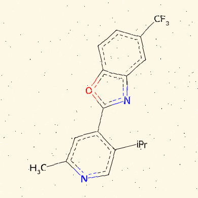 Cc1[c]c(-c2nc3cc(C(F)(F)F)ccc3o2)c(C(C)C)cn1